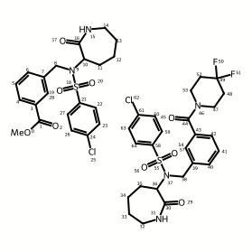 COC(=O)c1cccc(CN(C2CCCCNC2=O)S(=O)(=O)c2ccc(Cl)cc2)c1.O=C1NCCCCC1N(Cc1cccc(C(=O)N2CCC(F)(F)CC2)c1)S(=O)(=O)c1ccc(Cl)cc1